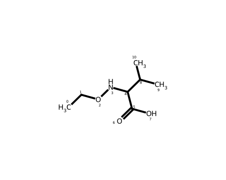 CCONC(C(=O)O)C(C)C